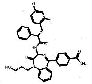 NC(=O)c1ccc(C2=NC(NC(=O)C(Cc3ccc(Cl)cc3Cl)c3ccccc3)C(=O)N(CCCO)c3ccccc32)cc1